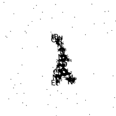 CCn1cc(-c2cc(Cn3ccnc3C)cc3c2OC[C@@H](Cc2cc(C)cc(N4CC(N(C)CC(=O)OC(C)(C)C)C4)n2)C3=O)c(C(F)(F)F)n1